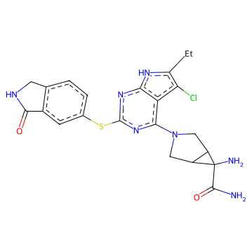 CCc1[nH]c2nc(Sc3ccc4c(c3)C(=O)NC4)nc(N3CC4C(C3)C4(N)C(N)=O)c2c1Cl